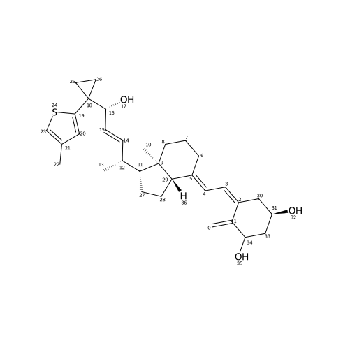 C=C1/C(=C\C=C2/CCC[C@]3(C)[C@@H]([C@H](C)/C=C/[C@@H](O)C4(c5cc(C)cs5)CC4)CC[C@@H]23)C[C@@H](O)CC1O